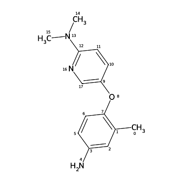 Cc1cc(N)ccc1Oc1ccc(N(C)C)nc1